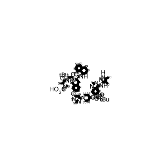 Cc1[nH]nc(Nc2ncnc3cc(OC4CCN(c5cc(Oc6ccc7c(c6)CN(C(=O)[C@@H](NC(=O)[C@H](C)N(C)C(=O)O)C(C)(C)C)[C@H](C(=O)N[C@@H]6CCCc8ccccc86)C7)ncn5)CC4)c(S(=O)(=O)C(C)(C)C)cc23)c1C